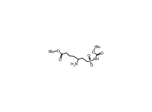 CC(C)(C)OC(=O)CCCC(N)CCS(=O)(=O)NC(=O)OC(C)(C)C